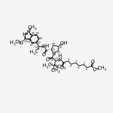 COC(=O)CCCCCCC(=O)NC(C(=O)N1C[C@H](O)C[C@H]1C(=O)NC(C)c1ccc2c(c1)c(OC)nn2C)C(C)(C)C